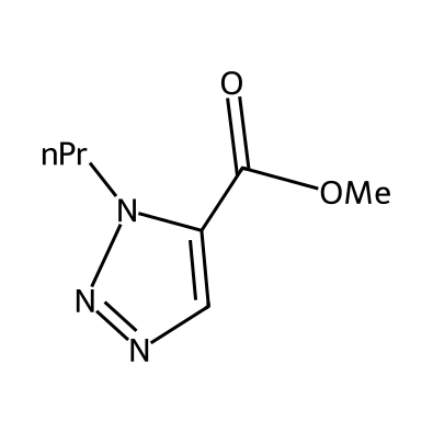 CCCn1nncc1C(=O)OC